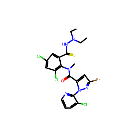 CCN(CC)NC(=S)c1cc(Cl)cc(Cl)c1N(C)C(=O)c1cc(Br)nn1-c1ncccc1Cl